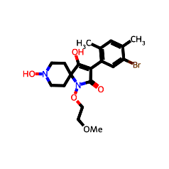 COCCON1C(=O)C(c2cc(Br)c(C)cc2C)=C(O)C12CCN(O)CC2